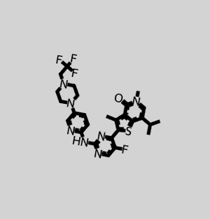 Cc1c(-c2nc(Nc3ccc(N4CCN(CC(F)(F)F)CC4)cn3)ncc2F)sc2c(C(C)C)cn(C)c(=O)c12